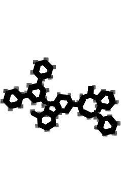 C=C1/C=C(c2ccc3c(c2)c2c(n3-c3cc(-c4ccccc4)cc(-c4ccccc4)c3)C(C)CC=C2)\C=C/N(c2ccccc2)c2ccccc21